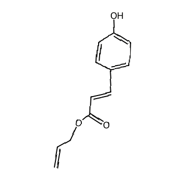 C=CCOC(=O)/C=C/c1ccc(O)cc1